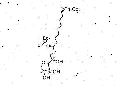 CCCCCCCC/C=C\CCCCCCCC(=O)OC[C@@H](O)[C@H]1OC[C@H](O)[C@H]1O.CCOCC